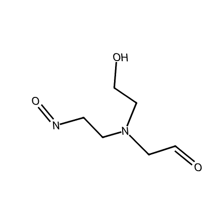 O=CCN(CCO)CCN=O